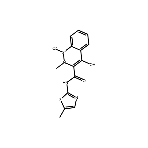 Cc1cnc(NC(=O)C2=C(O)c3ccccc3[S+]([O-])N2C)s1